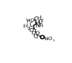 C[C@@H](O)[C@H]1C(=O)N[C@@H]1[C@@H](C)C(=O)CC(=O)OC(=O)c1ccc([N+](=O)[O-])cc1